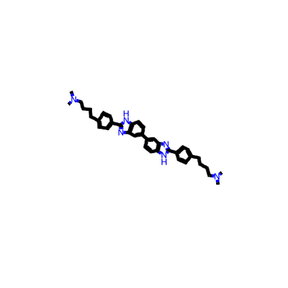 CN(C)CCCCc1ccc(-c2nc3cc(-c4ccc5[nH]c(-c6ccc(CCCCN(C)C)cc6)nc5c4)ccc3[nH]2)cc1